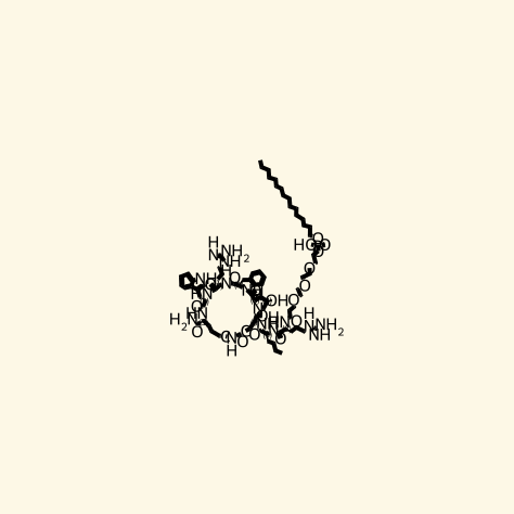 CCCCCCCCCCCCCCCCOP(=O)(O)OCCOCCOCCOCCC(=O)N[C@@H](CCCNC(=N)N)C(=O)N[C@@H](CCCC)C(=O)N[C@H]1CCC(=O)NCCCC[C@@H](C(N)=O)NC(=O)[C@H](Cc2c[nH]c3ccccc23)NC(=O)[C@H](CCCNC(=N)N)NC(=O)[C@@H](Cc2ccccc2)NC(=O)[C@@H]2C[C@@H](O)CN2C1=O